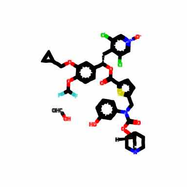 O=C(O[C@@H](Cc1c(Cl)c[n+]([O-])cc1Cl)c1ccc(OC(F)F)c(OCC2CC2)c1)c1ccc(CN(C(=O)O[C@H]2CN3CCC2CC3)c2cccc(O)c2)s1.O=CO